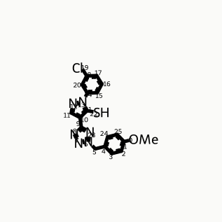 COc1ccc(Cn2nnc(-c3cnn(-c4cccc(Cl)c4)c3S)n2)cc1